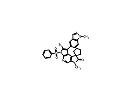 CN1C(=O)C2(CCCC2)c2c1cnc1c2c(-c2ccc3c(cnn3C)c2)c(Br)n1S(=O)(=O)c1ccccc1